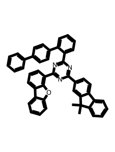 CC1(C)c2ccccc2-c2ccc(-c3nc(-c4ccccc4-c4ccc(-c5ccccc5)cc4)nc(-c4cccc5c4oc4ccccc45)n3)cc21